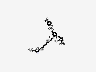 COC(=O)/C=C\C(=O)NCCCCCCNCC(=O)Nc1cc(COC(=O)Oc2ccc([N+](=O)[O-])cc2)ccc1OCc1cnc([N+](=O)[O-])n1C